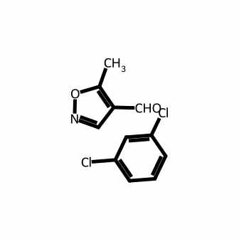 Cc1oncc1C=O.Clc1cccc(Cl)c1